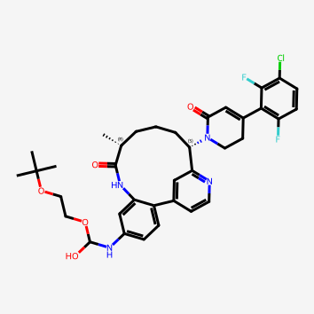 C[C@@H]1CCC[C@H](N2CCC(c3c(F)ccc(Cl)c3F)=CC2=O)c2cc(ccn2)-c2ccc(NC(O)OCCOC(C)(C)C)cc2NC1=O